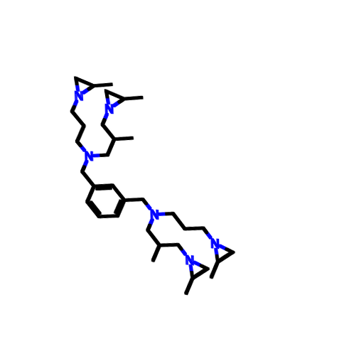 CC(CN(CCCN1CC1C)Cc1cccc(CN(CCCN2CC2C)CC(C)CN2CC2C)c1)CN1CC1C